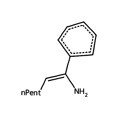 CCCCC/C=C(\N)c1ccccc1